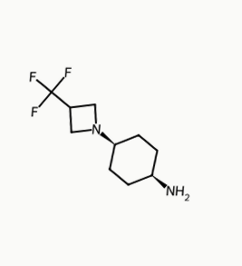 N[C@H]1CC[C@@H](N2CC(C(F)(F)F)C2)CC1